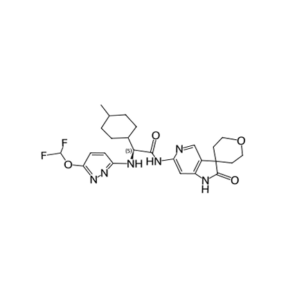 CC1CCC([C@H](Nc2ccc(OC(F)F)nn2)C(=O)Nc2cc3c(cn2)C2(CCOCC2)C(=O)N3)CC1